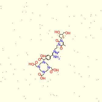 C=NN(/C=C(\N)c1ccc(C(C(=O)O)N2CCN(CC(=O)O)CCN(CC(=O)O)CCN(CC(=O)O)CC2)cc1)CCCn1c(=O)c(C)cn(C2CC(O)[C@@H](CO)S2)c1=O